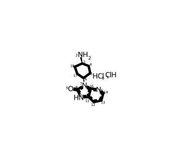 Cl.Cl.N[C@H]1CC[C@H](n2c(=O)[nH]c3cccnc32)CC1